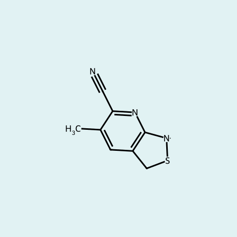 Cc1cc2c(nc1C#N)[N]SC2